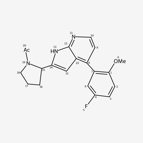 COc1ccc(F)cc1-c1ccnc2[nH]c(C3CCCN3C(C)=O)cc12